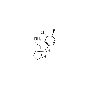 NCCC1(Nc2ccc(F)c(Cl)c2)CCCN1